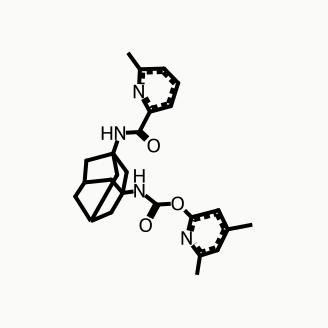 Cc1cc(C)nc(OC(=O)NC23CC4CC(C2)CC(NC(=O)c2cccc(C)n2)(C4)C3)c1